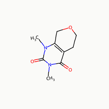 Cn1c2c(c(=O)n(C)c1=O)CCOC2